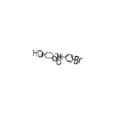 CC(C)(c1ccc(Br)cc1)N1CC[C@]2(CC[C@H](O)CC2)OC1=O